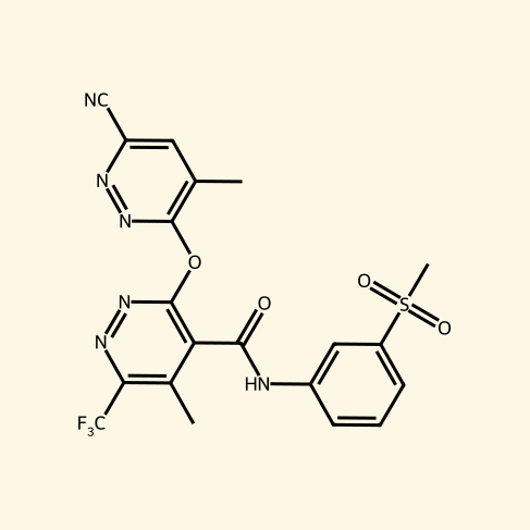 Cc1cc(C#N)nnc1Oc1nnc(C(F)(F)F)c(C)c1C(=O)Nc1cccc(S(C)(=O)=O)c1